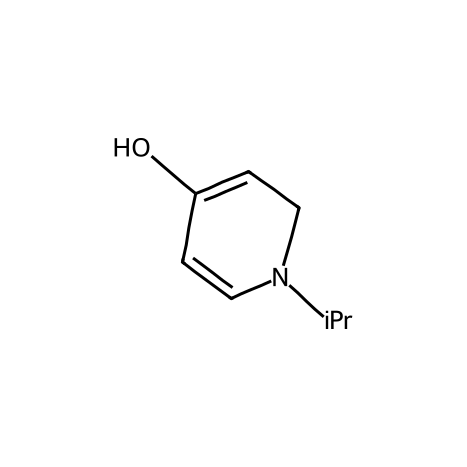 CC(C)N1C=CC(O)=CC1